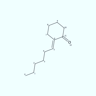 CCCCCC=C1CCCCC1=O